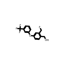 OCc1ccc(Oc2cccc(C(F)(F)F)c2)cc1CF